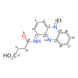 CCN1C2=CC=CC(NC(=O)CCC(=O)O)C2=Nc2ccccc21